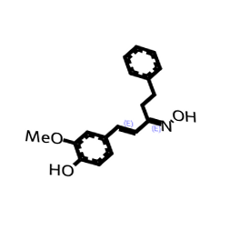 COc1cc(/C=C/C(CCc2ccccc2)=N/O)ccc1O